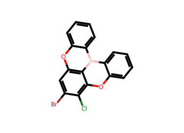 Clc1c(Br)cc2c3c1Oc1ccccc1B3c1ccccc1O2